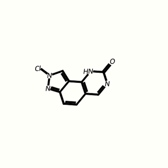 O=c1ncc2ccc3nn(Cl)cc3c2[nH]1